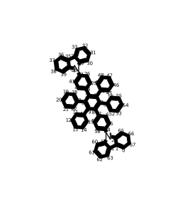 C1=c2c(n(-c3ccc(-c4c(-c5ccccc5)c(-c5ccccc5)c(-c5ccc(-n6c7ccccc7c7ccccc76)cc5)c(-c5ccccc5)c4-c4ccccc4)cc3)c3ccccc23)=CCC1